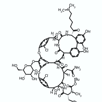 CC(C)C[C@H](C(=O)N[C@H]1C(=O)C[C@@H](CC(N)=O)C(=O)N[C@H]2C(=O)C[C@@H]3C(=O)N[C@H](C(=O)N[C@H](C(=O)CCCCN(C)C)c4cc(O)cc(O)c4-c4cc3ccc4O)[C@H](O)c3ccc(c(Cl)c3)Oc3cc2cc(c3O[C@@H]2O[C@H](CO)[C@@H](O)[C@H](O)[C@H]2O)Oc2ccc(cc2Cl)[C@H]1O)N(C)C(=O)OC(C)(C)C